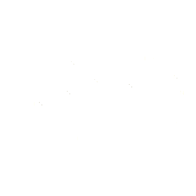 CC(C)C(CO)Nc1nc(N2CCN(c3cc(Cl)nnc3O)CC2)nc2c1[S+]([O-])CC2